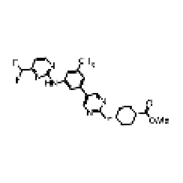 COC(=O)[C@H]1CC[C@H](Cc2ncc(-c3cc(C)cc(Nc4nccc(C(F)F)n4)c3)cn2)CC1